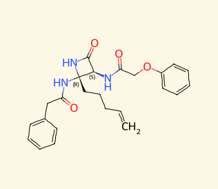 C=CCCC[C@@]1(NC(=O)Cc2ccccc2)NC(=O)[C@H]1NC(=O)COc1ccccc1